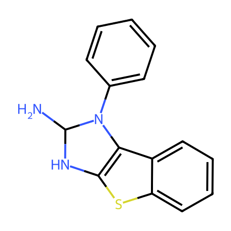 NC1Nc2sc3ccccc3c2N1c1ccccc1